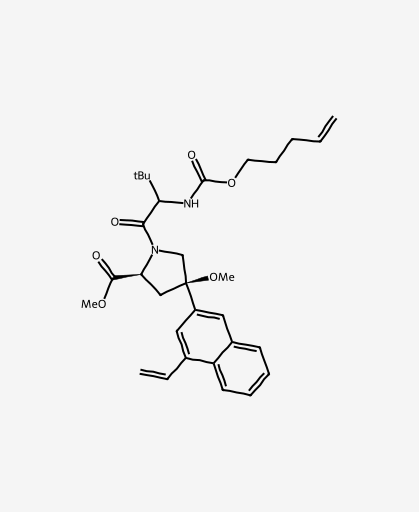 C=CCCCOC(=O)NC(C(=O)N1C[C@](OC)(c2cc(C=C)c3ccccc3c2)C[C@H]1C(=O)OC)C(C)(C)C